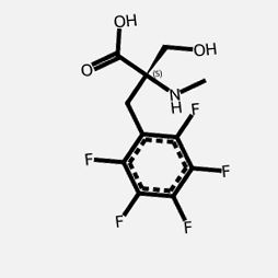 CN[C@](CO)(Cc1c(F)c(F)c(F)c(F)c1F)C(=O)O